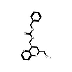 CC[C@@H]1C[C@H](CNC(=O)OCc2ccccc2)c2ncccc2O1